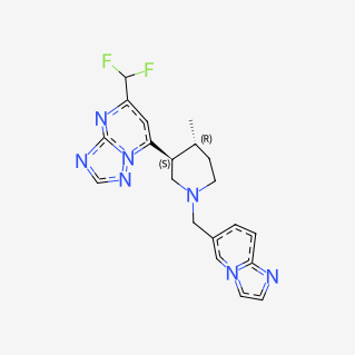 C[C@@H]1CCN(Cc2ccc3nccn3c2)C[C@H]1c1cc(C(F)F)nc2ncnn12